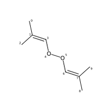 CC(C)=COOC=C(C)C